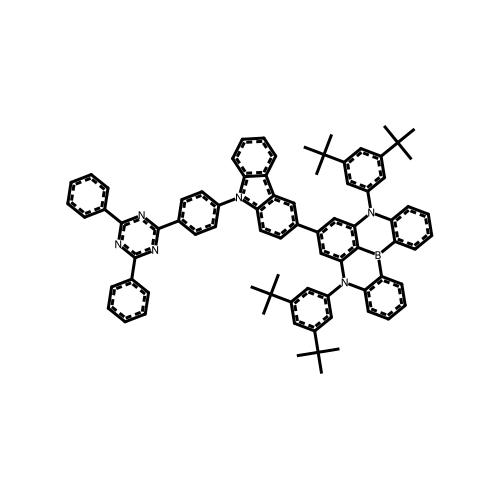 CC(C)(C)c1cc(N2c3ccccc3B3c4ccccc4N(c4cc(C(C)(C)C)cc(C(C)(C)C)c4)c4cc(-c5ccc6c(c5)c5ccccc5n6-c5ccc(-c6nc(-c7ccccc7)nc(-c7ccccc7)n6)cc5)cc2c43)cc(C(C)(C)C)c1